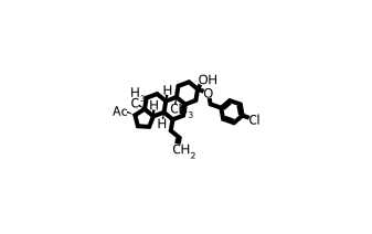 C=CCC1C=C2CC(O)(OCc3ccc(Cl)cc3)CC[C@]2(C)[C@H]2CC[C@]3(C)[C@@H](C(C)=O)CC[C@H]3[C@H]12